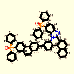 O=P(c1ccccc1)(c1ccccc1)c1ccc2c(ccc3cc(-c4ccc5c6c7ccccc7ccc6c6nc7ccc(P(=O)(c8ccccc8)c8ccccc8)cc7n6c5c4)ccc32)c1